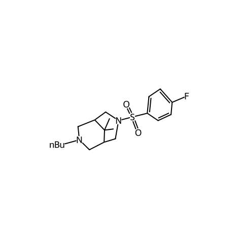 CCCCN1CC2CN(S(=O)(=O)c3ccc(F)cc3)CC(C1)C2(C)C